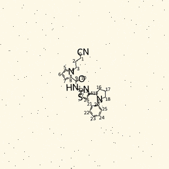 N#CCCCn1cccc1C(=O)Nc1nc([C@H]2CCCN2c2ccccc2)cs1